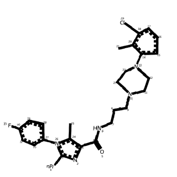 CCCc1nc(C(=O)NCCCN2CCN(c3cccc(Cl)c3C)CC2)c(C)n1-c1ccc(F)cc1